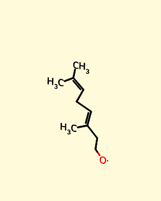 CC(C)=CC/C=C(\C)CC[O]